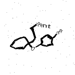 CCCCCC=CC1(Oc2ccc(CCC)cc2)C=CC=CC1